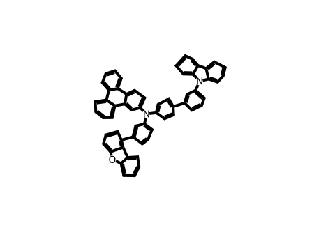 c1cc(-c2cccc3oc4ccccc4c23)cc(N(c2ccc(-c3cccc(-n4c5ccccc5c5ccccc54)c3)cc2)c2ccc3c4ccccc4c4ccccc4c3c2)c1